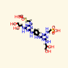 O=S(=O)(O)CCNc1nc(NCC(O)CO)nc(Nc2cccc(Nc3nc(/N=C\CSOOO)nc(NCC(O)CO)n3)c2)n1